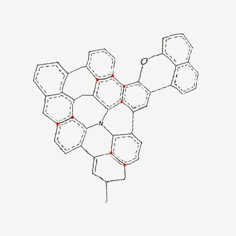 CC1C=C(c2ccccc2N(c2ccccc2-c2ccc3c(c2)-c2cccc4cccc(c24)O3)c2ccccc2-c2cccc3cccc(-c4ccccc4)c23)C=CC1